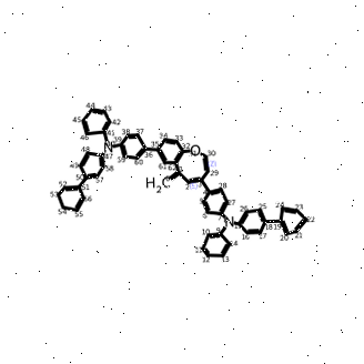 C=C1/C=C(c2ccc(N(c3ccccc3)c3ccc(-c4ccccc4)cc3)cc2)\C=C/Oc2ccc(-c3ccc(N(c4ccccc4)c4ccc(C5=CCCC=C5)cc4)cc3)cc21